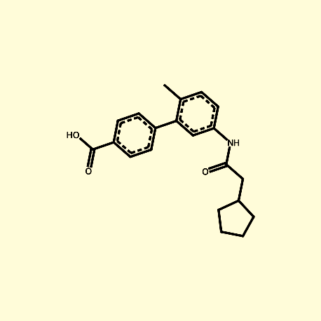 Cc1ccc(NC(=O)CC2CCCC2)cc1-c1ccc(C(=O)O)cc1